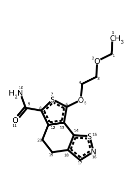 CCOCCOc1sc(C(N)=O)c2c1-c1sncc1CC2